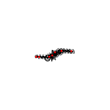 CCCCCCCCOc1ccc(-c2ccc([C@H]3CC[C@H](CCCCCCCC)CC3)cn2)c(F)c1